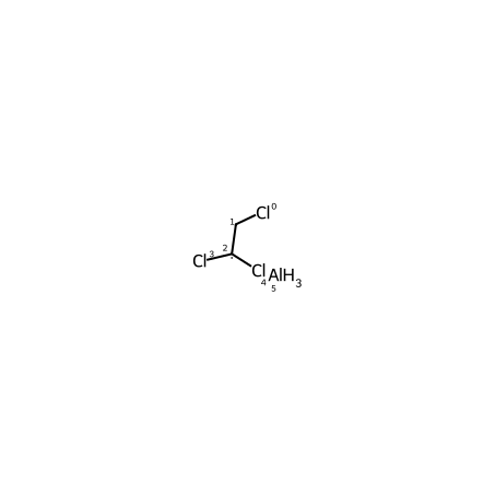 ClC[C](Cl)Cl.[AlH3]